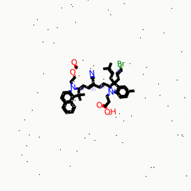 CC(C)=CCC1(C/C=C/Br)C(/C=C/C(C#N)=C/C=C2/N(CCOC=O)c3ccc4ccccc4c3C2(C)C)=[N+](CCC(=O)O)c2ccc(C)cc21